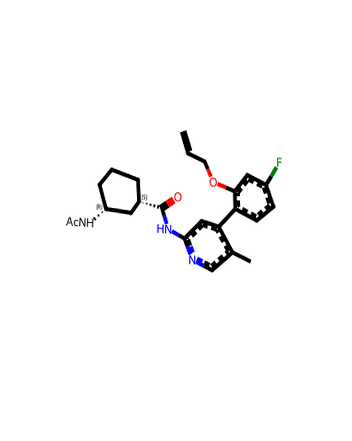 C=CCOc1cc(F)ccc1-c1cc(NC(=O)[C@H]2CCC[C@@H](NC(C)=O)C2)ncc1C